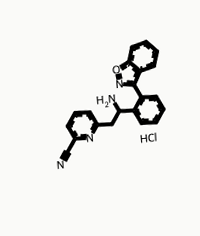 Cl.N#Cc1cccc(CC(N)c2ccccc2-c2noc3ccccc23)n1